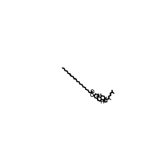 CCCCCC=CCC=CCCCCCCCCCC(=O)O[C@H]1CC[C@@]2(C)C(=CC[C@H]3[C@@H]4CC[C@H]([C@H](C)CCCC(C)C)[C@@]4(C)CC[C@@H]32)C1